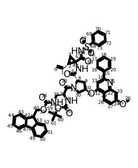 C=C[C@@H]1C[C@]1(NC(=O)[C@@H]1C[C@@H](Oc2cc(-c3ccccc3)nc3cc(OC)ccc23)CN1C(=O)[C@H](CNC(=O)OCC1c2ccccc2-c2ccccc21)NC(=O)OC(C)(C)C)C(=O)NS(=O)(=O)c1ccccc1